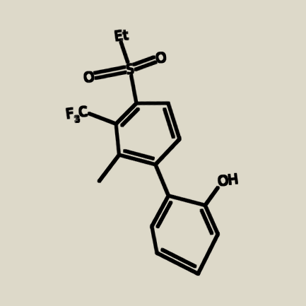 CCS(=O)(=O)c1ccc(-c2ccccc2O)c(C)c1C(F)(F)F